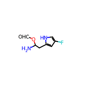 NC(Cc1cc(F)c[nH]1)OC=O